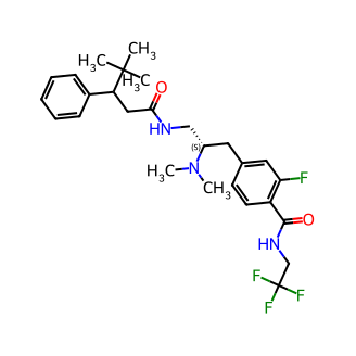 CN(C)[C@H](CNC(=O)CC(c1ccccc1)C(C)(C)C)Cc1ccc(C(=O)NCC(F)(F)F)c(F)c1